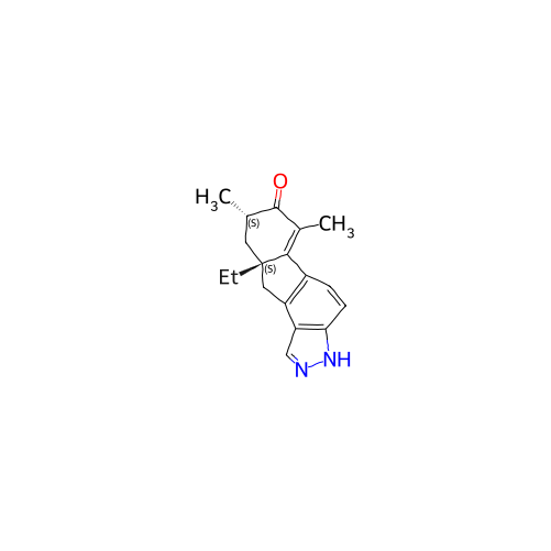 CC[C@]12Cc3c(ccc4[nH]ncc34)C1=C(C)C(=O)[C@@H](C)C2